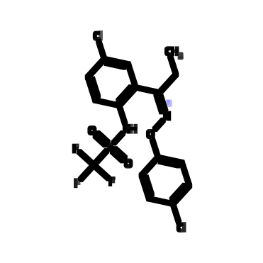 CC/C(=N/Oc1ccc(Cl)cc1)c1cc(Cl)ccc1NS(=O)(=O)C(F)(F)F